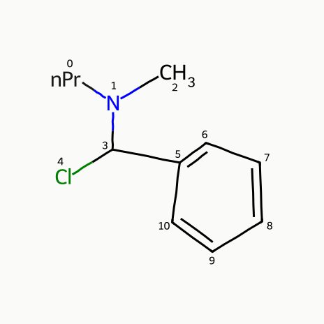 CCCN(C)C(Cl)c1ccccc1